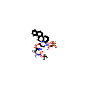 Cc1ccc2ccccc2c1CN1C(=O)[C@@H](NC(=O)[C@H](C)N(C)C(=O)OC(C)(C)C)CN(S(=O)(=O)CS(C)(=O)=O)c2ccccc21